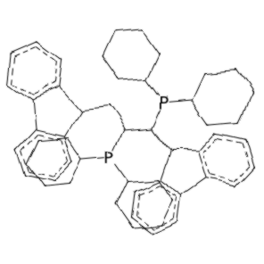 c1ccc2c(c1)-c1ccccc1C2CC(C(C1c2ccccc2-c2ccccc21)P(C1CCCCC1)C1CCCCC1)P(C1CCCCC1)C1CCCCC1